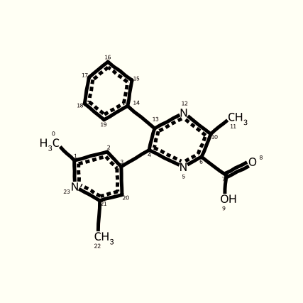 Cc1cc(-c2nc(C(=O)O)c(C)nc2-c2ccccc2)cc(C)n1